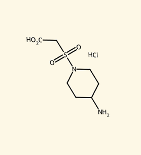 Cl.NC1CCN(S(=O)(=O)CC(=O)O)CC1